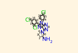 NC1CCCN(c2ncnc3c2nc(-c2ccc(Cl)cc2Cl)n3-c2ccc(Cl)cc2)C1